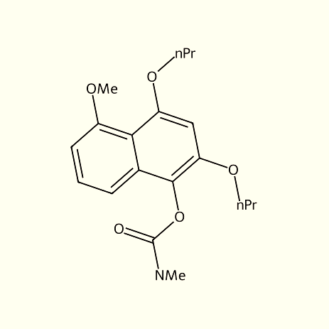 CCCOc1cc(OCCC)c2c(OC)cccc2c1OC(=O)NC